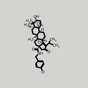 CC(C)C1=C2[C@H]3CC[C@@H]4[C@@]5(C)CC[C@H](O)C(C)(C)[C@@H]5CC[C@@]4(C)[C@]3(C)CC[C@@]2(C(=O)NCc2ccc(Cl)cc2)CC1=O